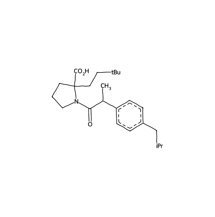 CC(C)Cc1ccc(C(C)C(=O)N2CCCC2(CCC(C)(C)C)C(=O)O)cc1